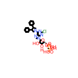 O=P(O)(O)CP(=O)(O)OC[C@H]1O[C@@H](n2cnc3c(N4CC(c5ccccc5)C(c5ccccc5)C4)nc(Cl)nc32)C(O)C1O